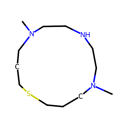 CN1CCCSCCCN(C)CCNCC1